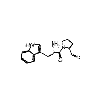 N[C@@H](Cc1c[nH]c2ccccc12)C(=O)N1CCC[C@H]1[C]=O